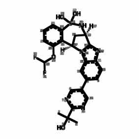 CC(C)(O)c1ncc(-c2ccc3nc4n(c3c2)[C@@H]2C[C@H]4NS(O)(O)c3cccc(OC(F)F)c32)cn1